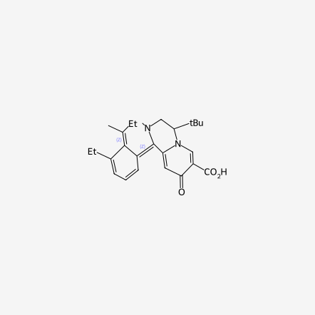 CC/C(C)=c1/c(CC)ccc/c1=C1\c2cc(=O)c(C(=O)O)cn2C(C(C)(C)C)CN1C